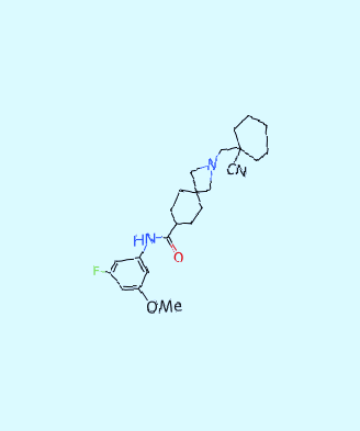 COc1cc(F)cc(NC(=O)C2CCC3(CC2)CN(CC2(C#N)CCCCC2)C3)c1